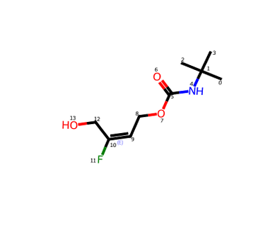 CC(C)(C)NC(=O)OC/C=C(/F)CO